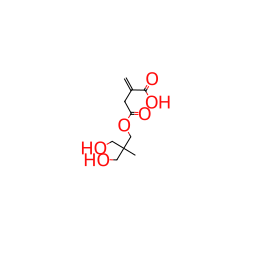 C=C(CC(=O)OCC(C)(CO)CO)C(=O)O